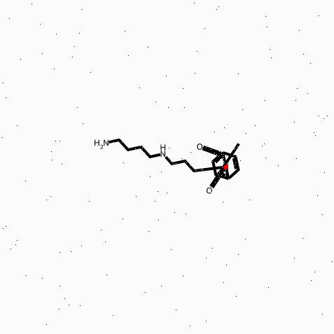 NCCCCNCCCn1c(=O)c2ccc(cc2)c1=O